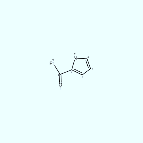 CCC(=O)C1=CC=C[N]1